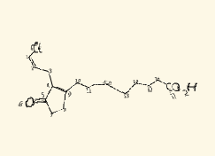 CC/C=C\CC1C(=O)CCC1CCCCCCCC(=O)O